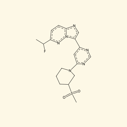 CC(F)c1ccc2ncc(-c3cc(N4CCCC(S(C)(=O)=O)C4)ncn3)n2n1